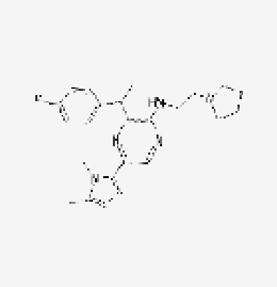 Cc1cnc(-c2cnc(NCCN3CCCC3)c(C(C)c3ccc(F)cc3)n2)n1C